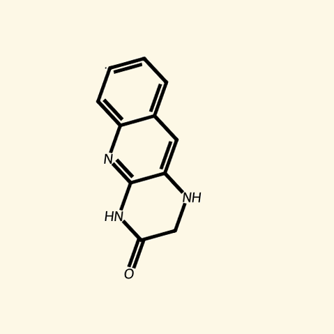 O=C1CNc2cc3cc[c]cc3nc2N1